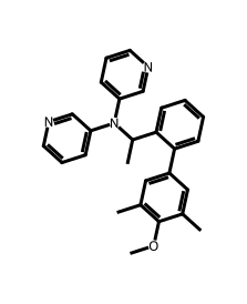 COc1c(C)cc(-c2ccccc2C(C)N(c2cccnc2)c2cccnc2)cc1C